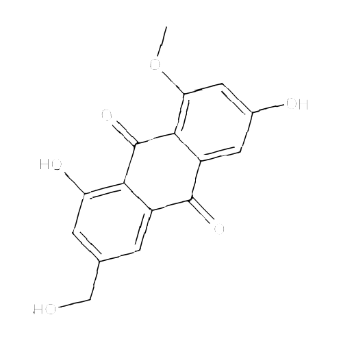 COc1cc(O)cc2c1C(=O)c1c(O)cc(CO)cc1C2=O